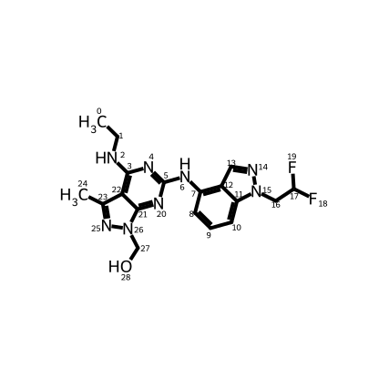 CCNc1nc(Nc2cccc3c2cnn3CC(F)F)nc2c1c(C)nn2CO